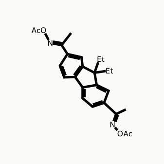 CCC1(CC)c2cc(/C(C)=N/OC(C)=O)ccc2-c2ccc(/C(C)=N/OC(C)=O)cc21